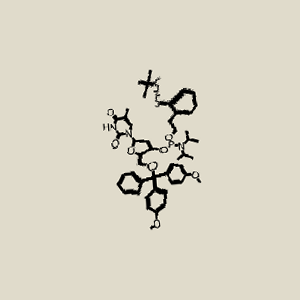 COc1ccc(C(OCC2OC(n3cc(C)c(=O)[nH]c3=O)CC2OP(OCCc2ccccc2SSC(C)(C)C)N(C(C)C)C(C)C)(c2ccccc2)c2ccc(OC)cc2)cc1